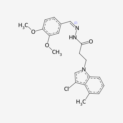 COc1ccc(/C=N\NC(=O)CCn2cc(Cl)c3c(C)cccc32)cc1OC